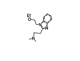 CCOCCn1c(CCN(C)C)nc2ccccc21